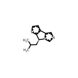 CC(C)C[C@H]1c2sccc2-c2cncn21